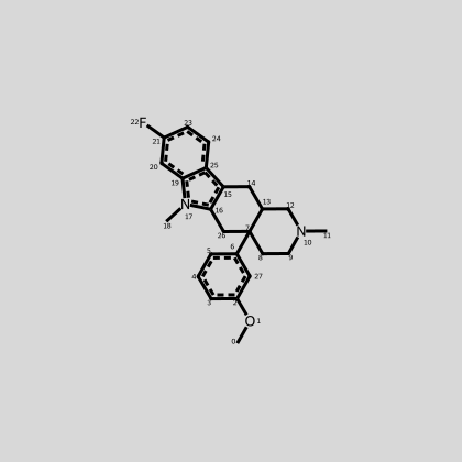 COc1cccc(C23CCN(C)CC2Cc2c(n(C)c4cc(F)ccc24)C3)c1